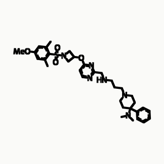 COc1cc(C)c(S(=O)(=O)N2CC(Oc3ccnc(CNCCCN4CCC(c5ccccc5)(N(C)C)CC4)n3)C2)c(C)c1